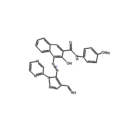 COc1ccc(NC(=O)c2cc3ccccc3c(/N=N/c3c(C=N)cnn3-c3cnccn3)c2O)cc1